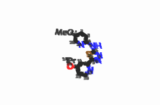 COc1ccc(Nc2nnc(-c3cc(OC(C)C)ccn3)s2)nc1